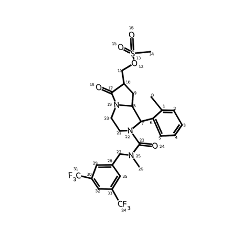 Cc1ccccc1C1C2CC(COS(C)(=O)=O)C(=O)N2CCN1C(=O)N(C)Cc1cc(C(F)(F)F)cc(C(F)(F)F)c1